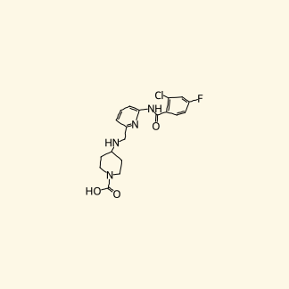 O=C(Nc1cccc(CNC2CCN(C(=O)O)CC2)n1)c1ccc(F)cc1Cl